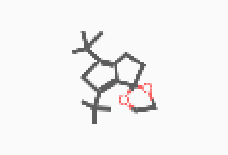 CC(C)(C)C1=C2CCC3(OCCO3)C2=C(C(C)(C)C)C1